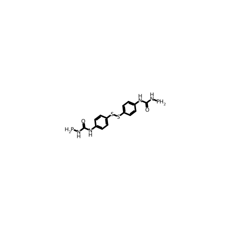 O=C(NP)Nc1ccc(SSc2ccc(NC(=O)NP)cc2)cc1